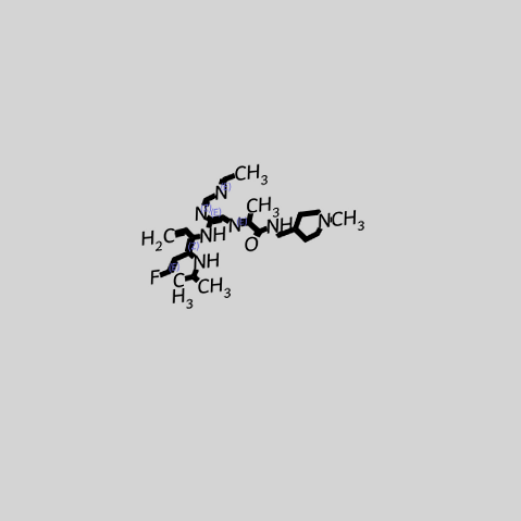 C=C/C(NC(=C\N=C(/C)C(=O)NCC1CCN(C)CC1)/N=C\N=C\C)=C(\C=C\F)NC(C)C